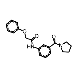 O=C(COc1ccccc1)Nc1cccc(C(=O)N2CCCC2)c1